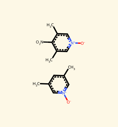 Cc1c[n+]([O-])cc(C)c1[N+](=O)[O-].Cc1cc(C)c[n+]([O-])c1